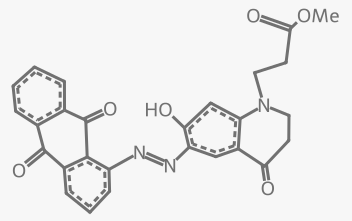 COC(=O)CCN1CCC(=O)c2cc(/N=N/c3cccc4c3C(=O)c3ccccc3C4=O)c(O)cc21